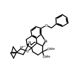 COC1(OC)CCC2(OCC3CC3)[C@H]3Cc4ccc(OCc5ccccc5)c5c4[C@@]2(CCN3CC2CC2)[C@H]1O5